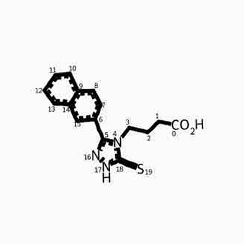 O=C(O)CCCn1c(-c2ccc3ccccc3c2)n[nH]c1=S